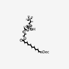 CCCCCCCCCCCCCCCCCCCC(=O)OCCOC(C)OP(=O)(O)OCC[N+](C)(C)C